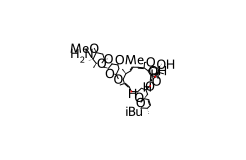 CCC(C)[C@H]1O[C@]2(C=C[C@@H]1C)C[C@@H]1C[C@@H](C/C=C(\C)[C@@H](OC3C[C@H](OC)[C@@H](O[C@H]4C[C@H](OC)[C@](C)(N)[C@H](C)O4)[C@H](C)O3)[C@@H](C)/C=C/C=C3\COC4[C@H](O)C(C)=C[C@@H](C(=O)O1)[C@]34O)O2